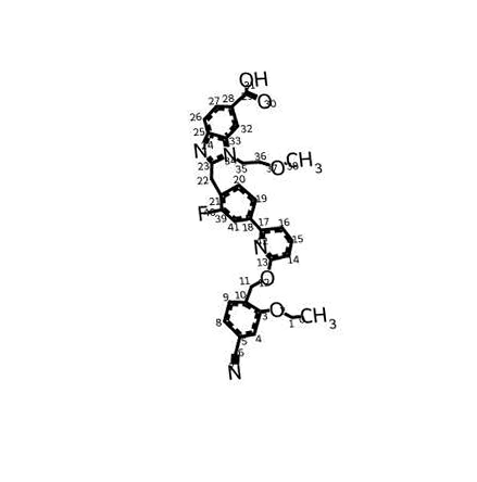 CCOc1cc(C#N)ccc1COc1cccc(-c2ccc(Cc3nc4ccc(C(=O)O)cc4n3CCOC)c(F)c2)n1